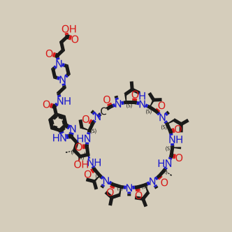 CC[C@@H]1NC(=O)[C@H]([C@H](O)[C@H](C)Cc2nc3cc(C(=O)NCCN4CCN(C(=O)CCC(=O)O)CC4)ccc3[nH]2)NC(=O)[C@H](C(C)C)N(C)C(=O)[C@H](CC(C)C)N(C)C(=O)[C@H](CC(C)C)N(C)C(=O)[C@@H](C)NC(=O)[C@H](C)NC(=O)[C@H](CC(C)C)N(C)C(=O)[C@H](C(C)C)NC(=O)[C@H](CC(C)C)N(C)C(=O)CN(C)C1=O